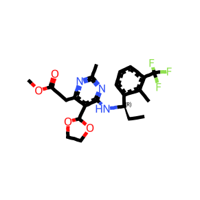 CC[C@@H](Nc1nc(C)nc(CC(=O)OC)c1C1OCCO1)c1cccc(C(F)(F)F)c1C